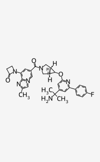 Cc1cn2cc(C(=O)N3C[C@@H]4C(Oc5cc(C(C)(C)N)cc(-c6ccc(F)cc6)n5)[C@@H]4C3)cc(N3CCC3=O)c2n1